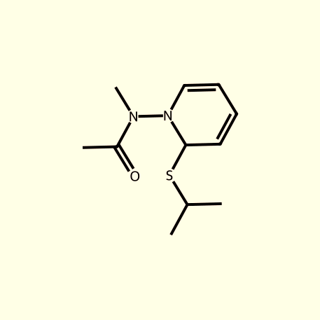 CC(=O)N(C)N1C=CC=CC1SC(C)C